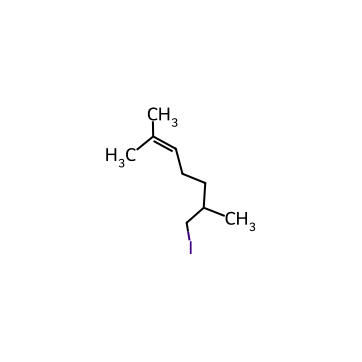 CC(C)=CCCC(C)CI